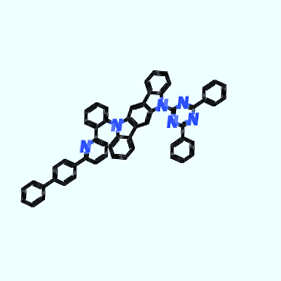 c1ccc(-c2ccc(-c3cccc(-c4ccccc4-n4c5ccccc5c5cc6c(cc54)c4ccccc4n6-c4nc(-c5ccccc5)nc(-c5ccccc5)n4)n3)cc2)cc1